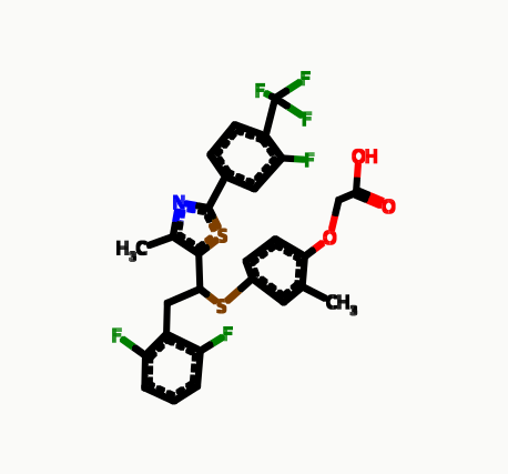 Cc1cc(SC(Cc2c(F)cccc2F)c2sc(-c3ccc(C(F)(F)F)c(F)c3)nc2C)ccc1OCC(=O)O